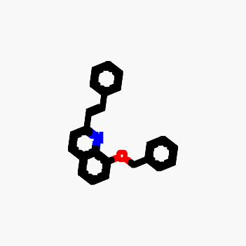 C(=Cc1ccc2cccc(OCc3ccccc3)c2n1)c1ccccc1